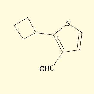 O=Cc1ccsc1C1CCC1